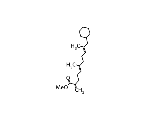 C=C(CC/C=C(\C)CC/C=C(\C)CC1CCCCC1)C(=O)OC